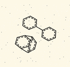 c1cc2ccc1-c1ccc-2cc1.c1ccc(-c2ccccc2)cc1